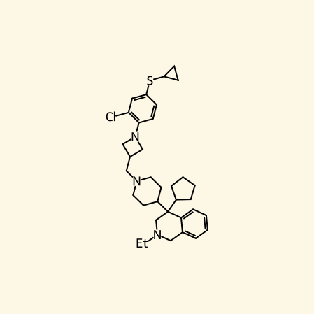 CCN1Cc2ccccc2C(C2CCCC2)(C2CCN(CC3CN(c4ccc(SC5CC5)cc4Cl)C3)CC2)C1